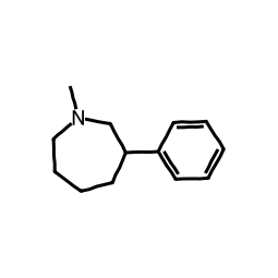 CN1CCCCC(c2ccccc2)C1